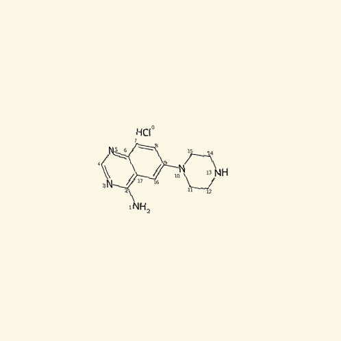 Cl.Nc1ncnc2ccc(N3CCNCC3)cc12